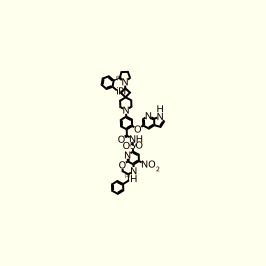 CC(C)c1ccccc1[C@H]1CCCN1C1CC2(CCN(c3ccc(C(=O)NS(=O)(=O)c4cc([N+](=O)[O-])c5c(n4)OC[C@H](Cc4ccccc4)N5)c(Oc4cnc5[nH]ccc5c4)c3)CC2)C1